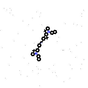 CC1(C)c2cc(/C=C/c3ccc(-c4ccc5c(c4)C(C)(C)c4ccccc4N5c4ccc5ccccc5c4)cc3)ccc2-c2cc3c(cc21)N(c1ccc2ccccc2c1)c1ccccc1C3(C)C